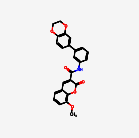 COc1cccc2cc(C(=O)Nc3cccc(-c4ccc5c(c4)OCCO5)c3)c(=O)oc12